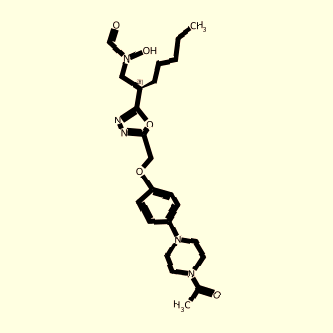 CCCCC[C@H](CN(O)C=O)c1nnc(COc2ccc(N3CCN(C(C)=O)CC3)cc2)o1